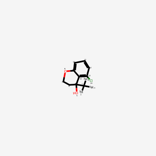 [2H]C([2H])([2H])C1(O)CCOc2cccc(Cl)c21